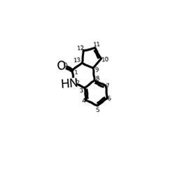 O=C1Nc2ccccc2C2C=CCC12